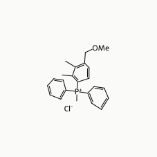 COCc1ccc([P+](C)(c2ccccc2)c2ccccc2)c(C)c1C.[Cl-]